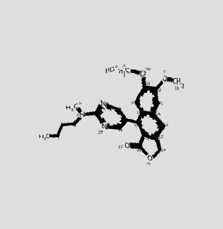 CCCCN(C)c1ncc(-c2c3c(cc4cc(OC)c(OC)cc24)COC3=O)cn1.Cl